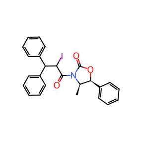 C[C@@H]1[C@H](c2ccccc2)OC(=O)N1C(=O)C(I)C(c1ccccc1)c1ccccc1